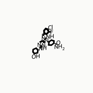 NC(=O)[C@H]1CC[C@@H](n2c(Nc3c(F)ccc(Cl)c3F)nc3cnc(N[C@H]4CCC[C@@H](O)C4)nc32)CC1